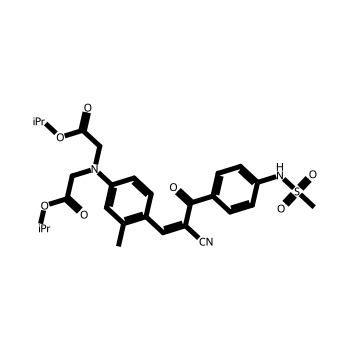 Cc1cc(N(CC(=O)OC(C)C)CC(=O)OC(C)C)ccc1C=C(C#N)C(=O)c1ccc(NS(C)(=O)=O)cc1